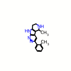 Cc1ccccc1-c1cc2c3c([nH]c2nn1)CCNC3C